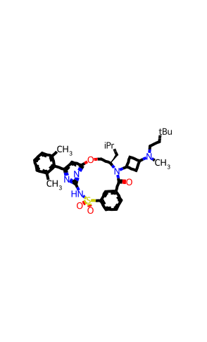 Cc1cccc(C)c1-c1cc2nc(n1)NS(=O)(=O)c1cccc(c1)C(=O)N(C1CC(N(C)CCC(C)(C)C)C1)[C@H](CC(C)C)CO2